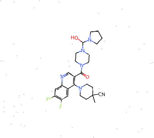 CC1(C#N)CCN(c2c(C(=O)N3CCN(C(O)N4CCCC4)CC3)cnc3cc(F)c(F)cc23)CC1